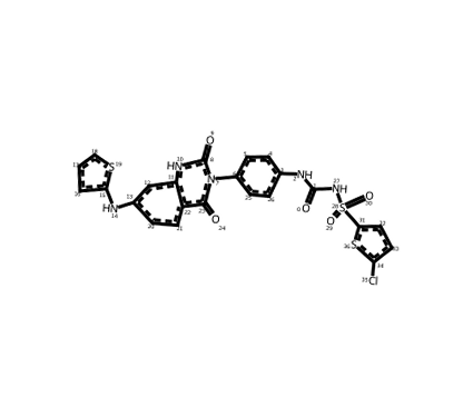 O=C(Nc1ccc(-n2c(=O)[nH]c3cc(Nc4cccs4)ccc3c2=O)cc1)NS(=O)(=O)c1ccc(Cl)s1